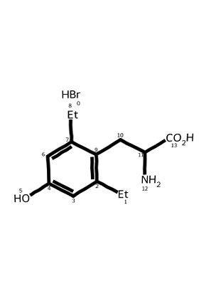 Br.CCc1cc(O)cc(CC)c1CC(N)C(=O)O